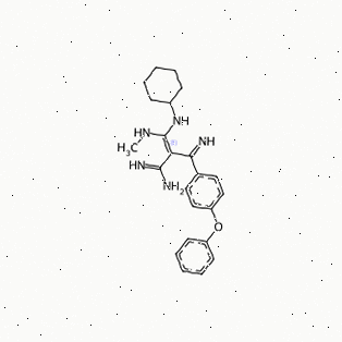 CN/C(NC1CCCCC1)=C(\C(=N)N)C(=N)c1ccc(Oc2ccccc2)cc1